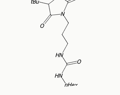 CCCCCCNC(=O)NCCCN1C(=O)CC(C(C)(C)C)C1=O